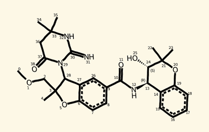 COCC1(C)Oc2ccc(C(=O)N[C@@H]3c4ccccc4OC(C)(C)[C@H]3O)cc2C1N1C(=N)NC(C)(C)CC1=O